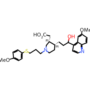 COc1ccc(SCCCN2CC[C@@H](CCC(O)c3ccnc4ccc(OC)cc34)[C@@H](CC(=O)O)C2)cc1